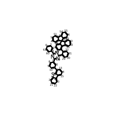 c1ccc(-c2nc(-c3cccc(-c4cccc5c4sc4ccccc45)c3)nc(-c3ccccc3-c3cccc4c3-c3ccccc3C43c4ccccc4-c4ccccc43)n2)cc1